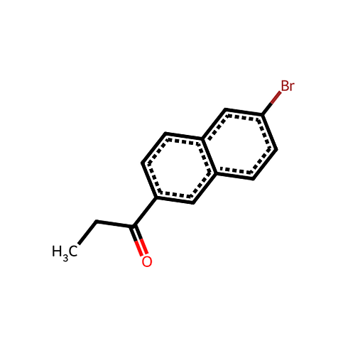 CCC(=O)c1ccc2cc(Br)ccc2c1